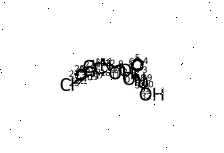 O=C(c1ccccc1OC[C@@H](O)CN1CCC2(CC1)Cc1cc(Cl)ccc1O2)N1CC[C@H](O)C1